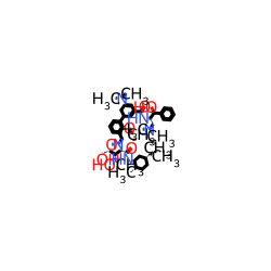 COc1c(CN2O[C@@H](CO)[C@@H]([C@H](C)O)[C@H]2C(=O)N[C@H]2C[C@H](C(C)C)CC[C@@H]2C)cccc1C1C=C(C(=O)N[C@@H](CN(C)C)C(O)c2ccccc2)C=C(N(C)C)C1